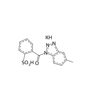 Cc1ccc2c(c1)nnn2C(=O)c1ccccc1S(=O)(=O)O.[KH]